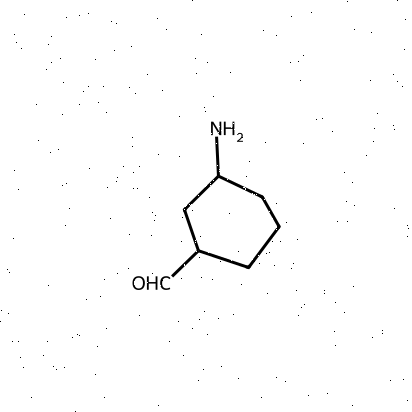 NC1CCCC(C=O)C1